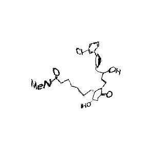 CNC(=O)CCCC=CC[C@H]1[C@@H](O)CC(=O)[C@@H]1C=CC(O)COc1cccc(Cl)c1